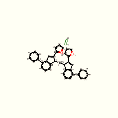 C1=C(c2ccco2)[CH]([Ti+2][CH]2C(c3ccco3)=Cc3c(-c4ccccc4)cccc32)c2cccc(-c3ccccc3)c21.[Cl-].[Cl-]